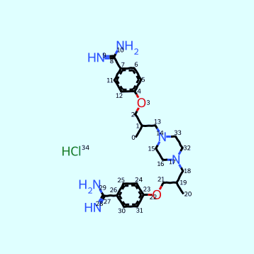 CC(COc1ccc(C(=N)N)cc1)CN1CCN(CC(C)COc2ccc(C(=N)N)cc2)CC1.Cl